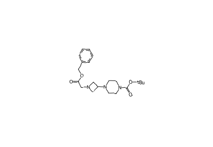 CC(C)(C)OC(=O)N1CCN(C2CN(CC(=O)OCc3ccccc3)C2)CC1